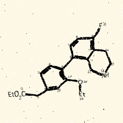 CCOC(=O)Cc1ccc(-c2ccc(F)c3c2CNCC3)c(OCC)c1